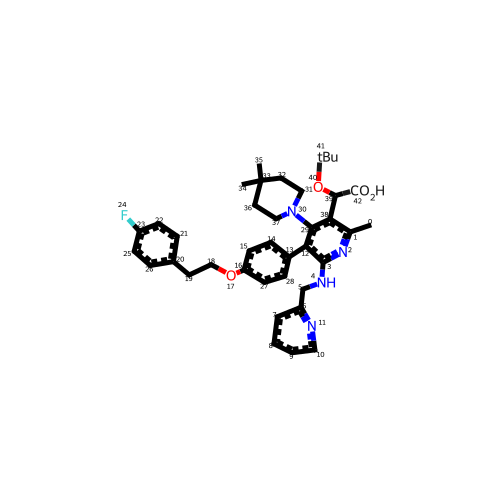 Cc1nc(NCc2ccccn2)c(-c2ccc(OCCc3ccc(F)cc3)cc2)c(N2CCC(C)(C)CC2)c1C(OC(C)(C)C)C(=O)O